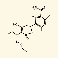 CCO/N=C(/CC)C1=C(O)CC(c2c(C)cc(C)c(C(N)=S)c2C)CC1=O